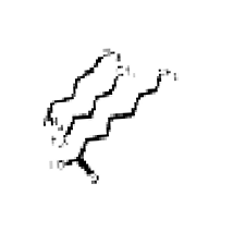 CCCCCC.CCCCCC.CCCCCCCC(=O)O